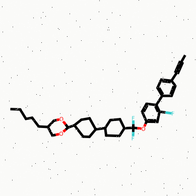 CC#Cc1ccc(-c2ccc(OC(F)(F)C3CCC(C4CCC(C5OCC(CCCCC)CO5)CC4)CC3)cc2F)cc1